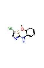 COC1CC=CC=C1Nc1ncc(Br)s1